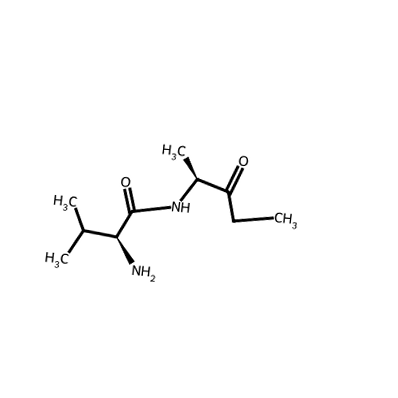 CCC(=O)[C@H](C)NC(=O)[C@@H](N)C(C)C